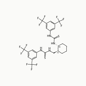 FC(F)(F)c1cc(NC(=S)NC[C@@H]2CCCC[C@H]2NC(=S)Nc2cc(C(F)(F)F)cc(C(F)(F)F)c2)cc(C(F)(F)F)c1